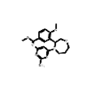 COC(=O)c1ccc(OC)c(C2COCCCN2c2cc(C)nc(N)n2)c1